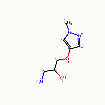 Cn1cc(OCC(O)CN)cn1